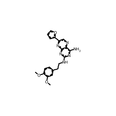 COc1ccc(CCNc2nc(N)c3ncc(-c4ccco4)nc3n2)cc1OC